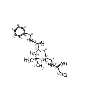 CC(C)(C)N[C@@H](CCCNC(=N)CCl)C(=O)NCc1ccccc1